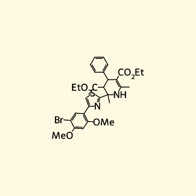 CCOC(=O)C1=C(C)NC(C)(c2nc(-c3cc(Br)c(OC)cc3OC)cs2)C(C(=O)OCC)C1c1ccccc1